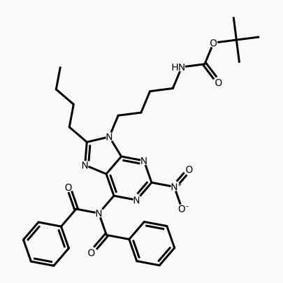 CCCCc1nc2c(N(C(=O)c3ccccc3)C(=O)c3ccccc3)nc([N+](=O)[O-])nc2n1CCCCNC(=O)OC(C)(C)C